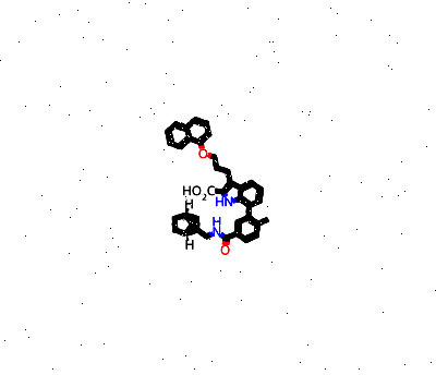 Cc1ccc(C(=O)NCC2C[C@H]3CC[C@H]2C3)cc1-c1cccc2c(CCCOc3cccc4ccccc34)c(C(=O)O)[nH]c12